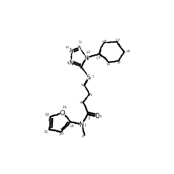 CN(C(=O)CCCSc1nnnn1C1CCCCC1)c1ccco1